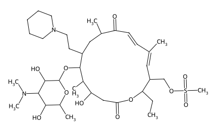 CCC1OC(=O)CC(O)C(C)C(OC2OC(C)C(O)C(N(C)C)C2O)C(CCN2CCCCC2)CC(C)C(=O)/C=C/C(C)=C/C1COS(C)(=O)=O